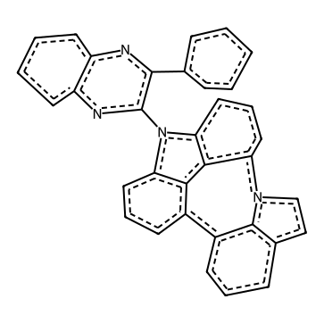 c1ccc(-c2nc3ccccc3nc2-n2c3cccc4c5cccc6ccn(c7cccc2c7c43)c65)cc1